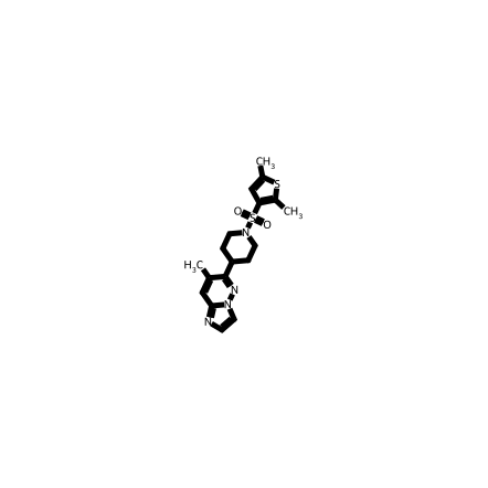 Cc1cc(S(=O)(=O)N2CCC(c3nn4ccnc4cc3C)CC2)c(C)s1